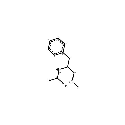 COCC(Cc1ccccc1)NC(C)I